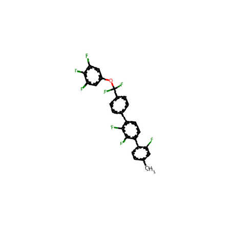 Cc1ccc(-c2ccc(-c3ccc(C(F)(F)Oc4cc(F)c(F)c(F)c4)cc3)c(F)c2F)c(F)c1